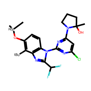 C[SiH](C)Oc1ccc2c(nc(C(F)F)n2-c2nc(Cl)cc(N3CCCC3(C)O)n2)c1C(C)(C)C